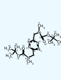 CN(Cc1nnc(CN(C)C(=O)OC(C)(C)C)nn1)C(=O)OC(C)(C)C